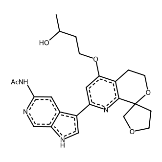 CC(=O)Nc1cc2c(-c3cc(OCCC(C)O)c4c(n3)C3(CCOC3)OCC4)c[nH]c2cn1